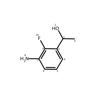 CC(O)c1cccc(N)c1F